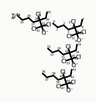 CCCCC(Cl)(CC)C([O-])(Cl)Cl.CCCCC(Cl)(CC)C([O-])(Cl)Cl.CCCCC(Cl)(CC)C([O-])(Cl)Cl.CCCCC(Cl)(CC)C([O-])(Cl)Cl.[Ti+4]